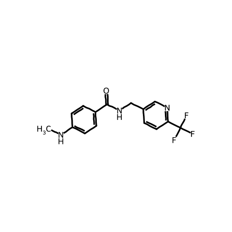 CNc1ccc(C(=O)NCc2ccc(C(F)(F)F)nc2)cc1